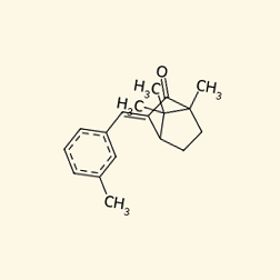 Cc1cccc(C=C2C(=O)C3(C)CCC2C3(C)C)c1